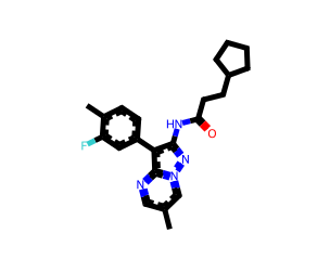 Cc1cnc2c(-c3ccc(C)c(F)c3)c(NC(=O)CCC3CCCC3)nn2c1